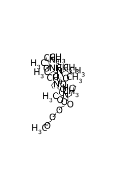 CC[C@H](C)[C@@H]([C@@H](CC(=O)N1CCC[C@H]1[C@H](OC)[C@@H](C)C(=O)NC(Cc1ccccc1)C(=O)OCCOCCOCCOC)OC)N(C)C(=O)[C@@H](NC(=O)[C@@H](NC)C(C)C)C(C)C